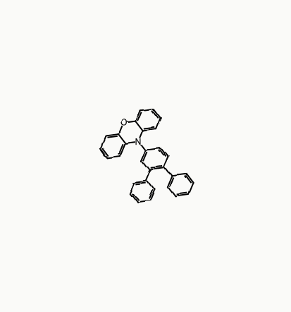 c1ccc(-c2ccc(N3c4ccccc4Oc4ccccc43)cc2-c2ccccc2)cc1